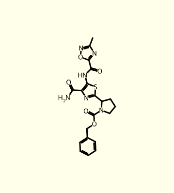 Cc1noc(C(=O)Nc2sc(C3CCCN3C(=O)OCc3ccccc3)nc2C(N)=O)n1